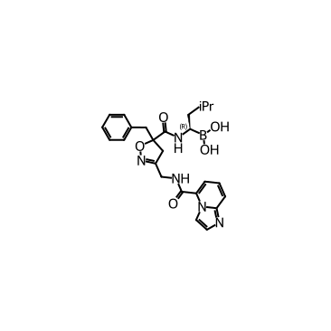 CC(C)C[C@H](NC(=O)C1(Cc2ccccc2)CC(CNC(=O)c2cccc3nccn23)=NO1)B(O)O